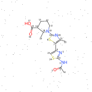 CC(=O)Nc1nc(-c2sc(N3CCCC(C(=O)O)C3C)nc2C)cs1